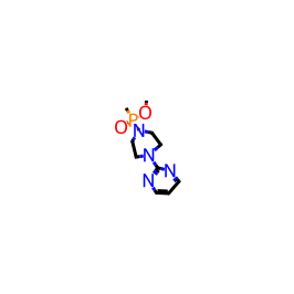 COP(C)(=O)N1CCN(c2ncccn2)CC1